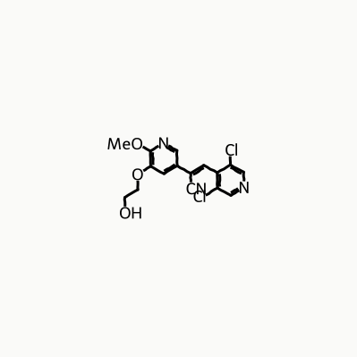 COc1ncc(C(C#N)=Cc2c(Cl)cncc2Cl)cc1OCCO